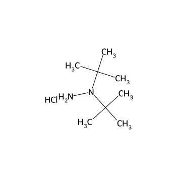 CC(C)(C)N(N)C(C)(C)C.Cl